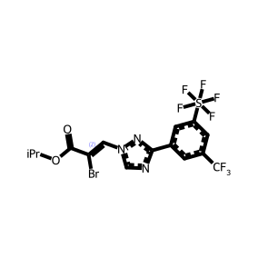 CC(C)OC(=O)/C(Br)=C/n1cnc(-c2cc(C(F)(F)F)cc(S(F)(F)(F)(F)F)c2)n1